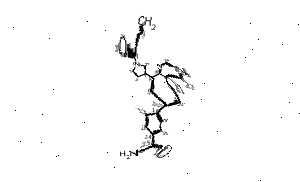 C=CC(=O)N1CCC(c2cc(-c3ccc(C(N)=O)cc3)cc3cncnc23)C1